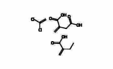 C=C(CC(=O)O)C(=O)O.C=C(CC)C(=O)O.C=C(Cl)Cl